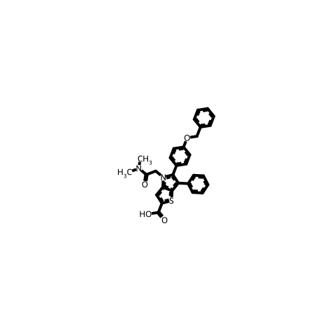 CN(C)C(=O)Cn1c(-c2ccc(OCc3ccccc3)cc2)c(-c2ccccc2)c2sc(C(=O)O)cc21